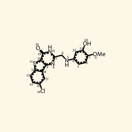 COc1ccc(NCc2nc3c(sc4ccc(Cl)cc43)c(=O)[nH]2)cc1O